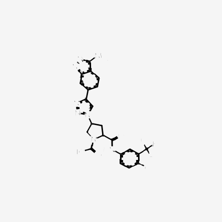 Nc1n[nH]c2cc(-c3cn(C4CC(C(=O)Nc5ccc(Cl)c(C(F)(F)F)c5)N(C(=O)O)C4)nn3)ccc12